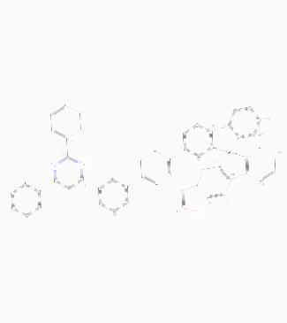 C1=CCCC(c2nc(-c3ccccc3)cc(-c3cccc(C4=CC=C(c5ccc6c(c5)C5(C7=C(C=CCC7)C7=C5CC5C=COC5=C7)c5ccccc5-6)CC4)c3)n2)=C1